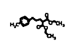 CCOC(=O)C(CCCc1ccc(C)cc1)C(=O)OCC